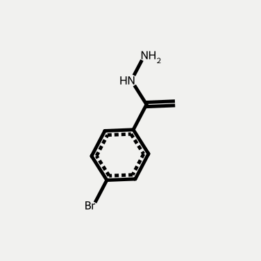 C=C(NN)c1ccc(Br)cc1